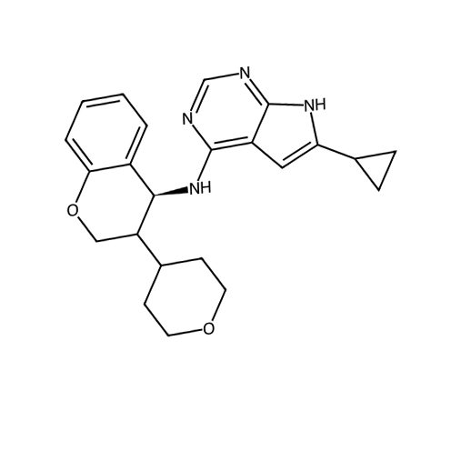 c1ccc2c(c1)OCC(C1CCOCC1)[C@@H]2Nc1ncnc2[nH]c(C3CC3)cc12